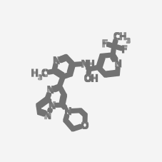 Cc1ncc(NC(O)c2ccnc(C(C)(F)F)c2)cc1-c1cc(N2CCOCC2)n2nccc2n1